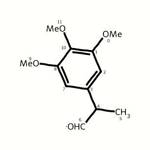 COc1cc(C(C)[C]=O)cc(OC)c1OC